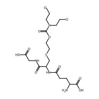 NC(CCC(=O)NC(CSCCOC(=O)N(CCCl)CCCl)C(=O)NCC(=O)O)C(=O)O